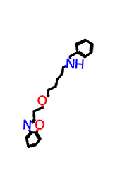 c1ccc(CNCCCCCCOCCc2nc3ccccc3o2)cc1